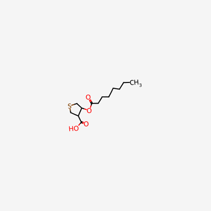 CCCCCCCC(=O)OC1CSCC1C(=O)O